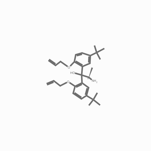 C=CCOc1ccc(C(C)(C)C)cc1C(O)(c1cc(C(C)(C)C)ccc1OCC=C)[C@@H](C)N